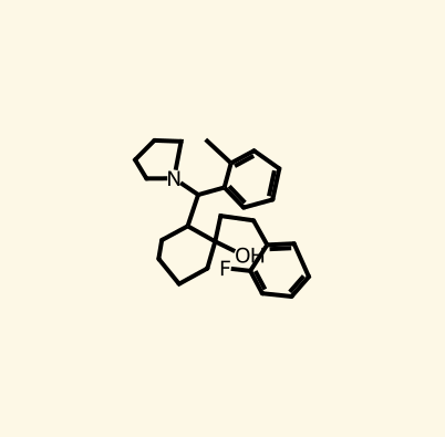 Cc1ccccc1C(C1CCCCC1(O)CCc1ccccc1F)N1CCCC1